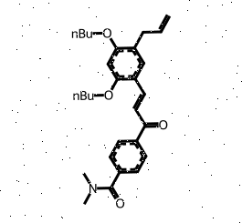 C=CCc1cc(C=CC(=O)c2ccc(C(=O)N(C)C)cc2)c(OCCCC)cc1OCCCC